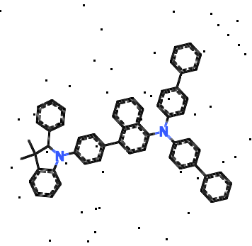 CC1(C)c2ccccc2N(c2ccc(-c3ccc(N(c4ccc(-c5ccccc5)cc4)c4ccc(-c5ccccc5)cc4)c4ccccc34)cc2)C1c1ccccc1